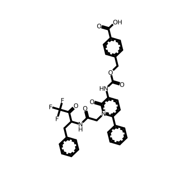 O=C(Cn1c(-c2ccccc2)ccc(NC(=O)OCc2ccc(C(=O)O)cc2)c1=O)NC(Cc1ccccc1)C(=O)C(F)(F)F